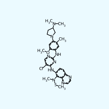 COc1cc(N2CCC(N(C)C)C2)c(C)cc1Nc1ncc(Cl)c(Nc2ccc3nccnc3c2N(C)SC)n1